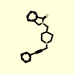 O=C1c2ccccc2CN1CC1CCN(CC#Cc2ccccc2)CC1